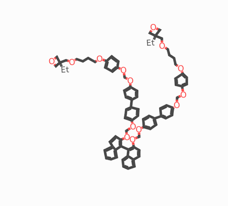 CCC1(COCCCCOc2ccc(OCOc3ccc(-c4ccc(OCOc5ccc6ccccc6c5-c5c(OCOc6ccc(-c7ccc(OCOc8ccc(OCCCCOCC9(CC)COC9)cc8)cc7)cc6)ccc6ccccc56)cc4)cc3)cc2)COC1